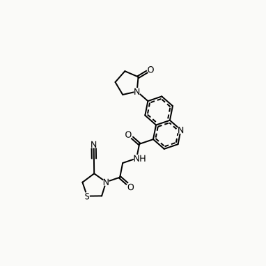 N#CC1CSCN1C(=O)CNC(=O)c1ccnc2ccc(N3CCCC3=O)cc12